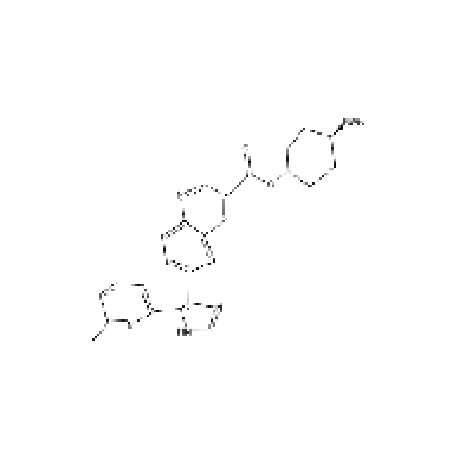 CN[C@H]1CC[C@H](OC(=O)c2cnc3ccc(-c4nc[nH]c4-c4cccc(C)n4)cc3c2)CC1